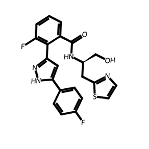 O=C(N[C@@H](CO)Cc1nccs1)c1cccc(F)c1-c1cc(-c2ccc(F)cc2)[nH]n1